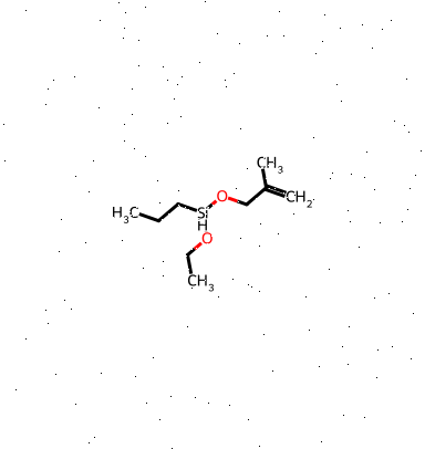 C=C(C)CO[SiH](CCC)OCC